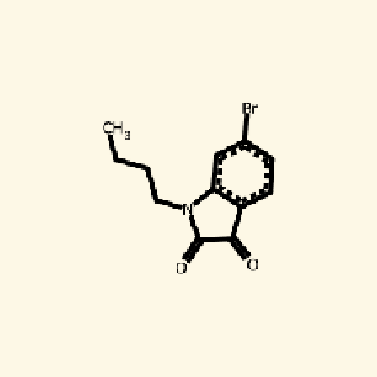 CCCCN1C(=O)C(=O)c2ccc(Br)cc21